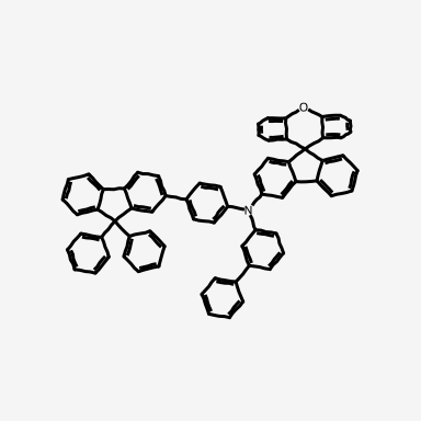 c1ccc(-c2cccc(N(c3ccc(-c4ccc5c(c4)C(c4ccccc4)(c4ccccc4)c4ccccc4-5)cc3)c3ccc4c(c3)-c3ccccc3C43c4ccccc4Oc4ccccc43)c2)cc1